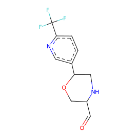 O=CC1COC(c2ccc(C(F)(F)F)nc2)CN1